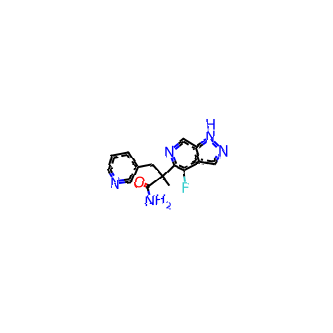 CC(Cc1cccnc1)(C(N)=O)c1ncc2[nH]ncc2c1F